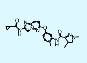 Cc1ccc(Oc2ccc3nc(NC(=O)C4CC4)cn3n2)cc1NC(=O)C1=NN(C)CC1C